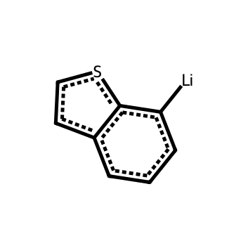 [Li][c]1cccc2ccsc12